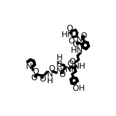 O=C(CNC(=O)C(CS)NC(=O)C(CCc1ccc(O)cc1)NC(=O)CCCNc1cccc2c1C(=O)N(C1CCC(=O)NC1=O)C2=O)NCC1OC1C(=O)OCc1ccccn1